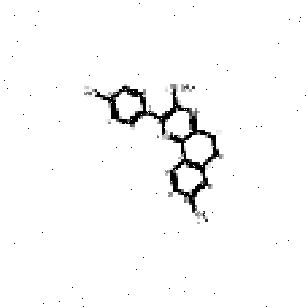 CC(=O)Nc1nc2c(nc1-c1ccc(O)cc1)-c1ccc(N)cc1CC2